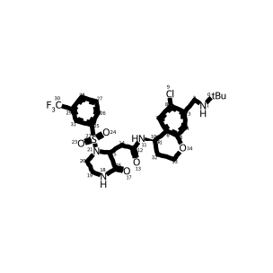 CC(C)(C)NCc1cc2c(cc1Cl)[C@H](NC(=O)CC1C(=O)NCCN1S(=O)(=O)c1cccc(C(F)(F)F)c1)CCO2